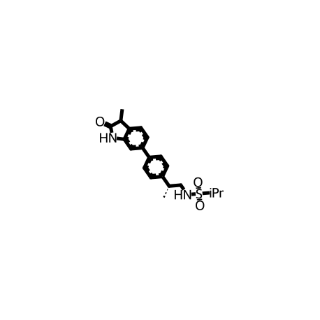 CC1C(=O)Nc2cc(-c3ccc([C@@H](C)CNS(=O)(=O)C(C)C)cc3)ccc21